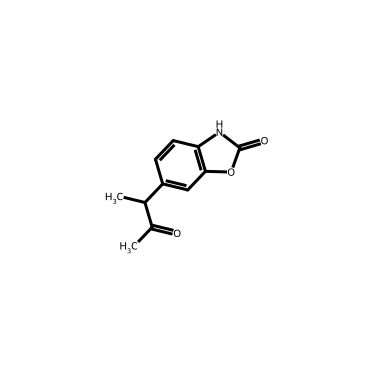 CC(=O)C(C)c1ccc2[nH]c(=O)oc2c1